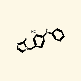 Cc1nccn1Cc1ccc(Nc2ccccc2)cc1.Cl